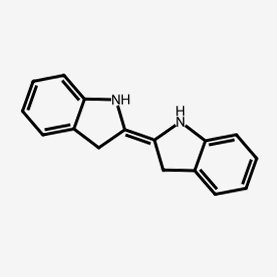 c1ccc2c(c1)CC(=C1Cc3ccccc3N1)N2